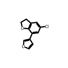 Clc1cc2c(c(-c3ccoc3)c1)O[CH]C2